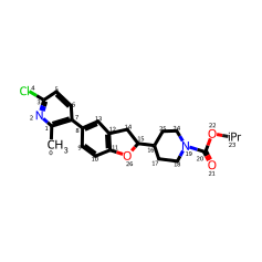 Cc1nc(Cl)ccc1-c1ccc2c(c1)CC(C1CCN(C(=O)OC(C)C)CC1)O2